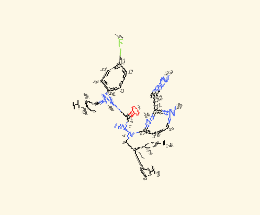 CC(C)CN(NC(=O)N(C)c1ccc(F)cc1)c1ccnc(C#N)n1